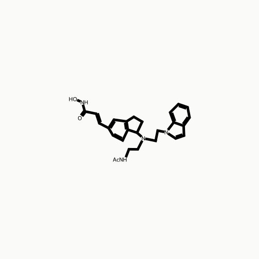 CC(=O)NCCN(CCn1ccc2ccccc21)C1CCc2cc(C=CC(=O)NO)ccc21